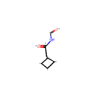 O=CNC(=O)C1CCC1